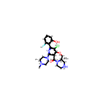 C[C@@H]1CN(c2nc(-c3c(O)cccc3F)c(Cl)c3c2C(=O)N2CCNC[C@@H]2CO3)CCN1C